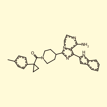 Cc1ccc(C2(C(=O)N3CCC(c4nc(-c5cc6ccccc6[nH]5)c5c(N)nccn45)CC3)CC2)cc1